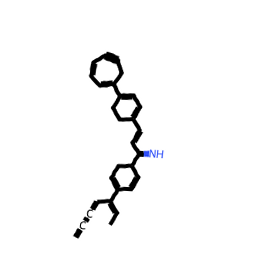 C=C=C=C/C(=C\C)C1=CCC(C(=N)/C=C/C2=CC=C(C3=CC=CC#CC3)CC2)C=C1